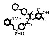 CNc1ccccc1CCN(C=O)C1CCN(C(=O)O[C@H](Cc2cc(Cl)c(O)c(Cl)c2)C(=O)N2CCC(N3CCCCC3)CC2)CC1